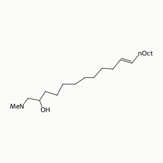 CCCCCCCCC=CCCCCCCCCC(O)CNC